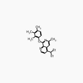 CCC(CC)c1ccnc2c(Oc3ccc(C)c(C)c3C)nc(C)cc12